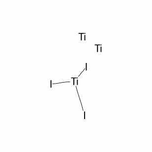 [I][Ti]([I])[I].[Ti].[Ti]